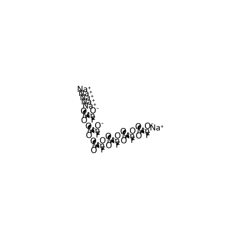 [Na+].[Na+].[Na+].[Na+].[Na+].[Na+].[O]=[Mn](=[O])([O-])[F].[O]=[Mn](=[O])([O-])[F].[O]=[Mn](=[O])([O-])[F].[O]=[Mn](=[O])([O-])[F].[O]=[Mn](=[O])([O-])[F].[O]=[Mn](=[O])([O-])[F]